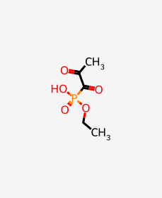 CCOP(=O)(O)C(=O)C(C)=O